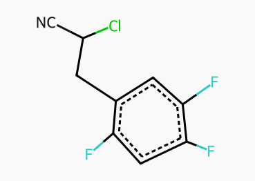 N#CC(Cl)Cc1cc(F)c(F)cc1F